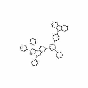 c1ccc(-c2cc(-c3ccc(-n4c5ccccc5c5ccccc54)cc3)nc(-c3ccc4c(c3)cc(-c3ccccc3)n3nc(-c5ccccc5)c(-c5ccccc5)c43)n2)cc1